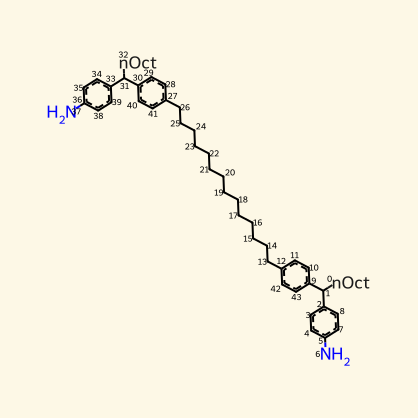 CCCCCCCCC(c1ccc(N)cc1)c1ccc(CCCCCCCCCCCCCCc2ccc(C(CCCCCCCC)c3ccc(N)cc3)cc2)cc1